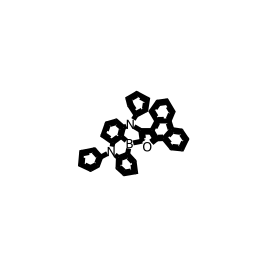 c1ccc(N2c3ccccc3B3c4oc5c6ccccc6c6ccccc6c5c4N(c4ccccc4)c4cccc2c43)cc1